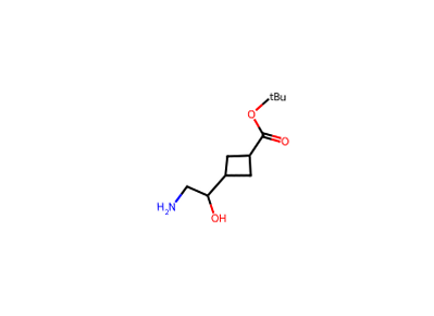 CC(C)(C)OC(=O)C1CC(C(O)CN)C1